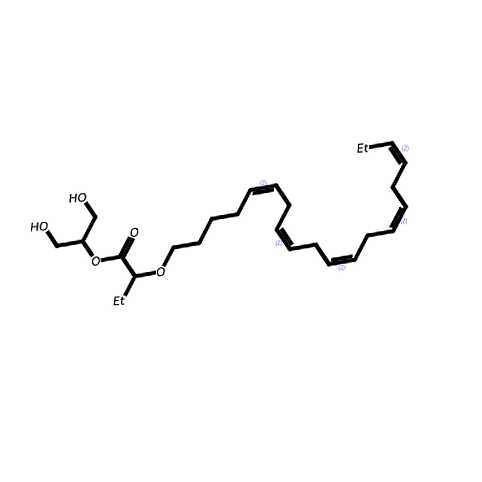 CC/C=C\C/C=C\C/C=C\C/C=C\C/C=C\CCCCOC(CC)C(=O)OC(CO)CO